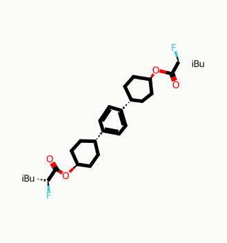 CC[C@H](C)[C@H](F)C(=O)O[C@H]1CC[C@H](c2ccc([C@H]3CC[C@H](OC(=O)[C@@H](F)[C@@H](C)CC)CC3)cc2)CC1